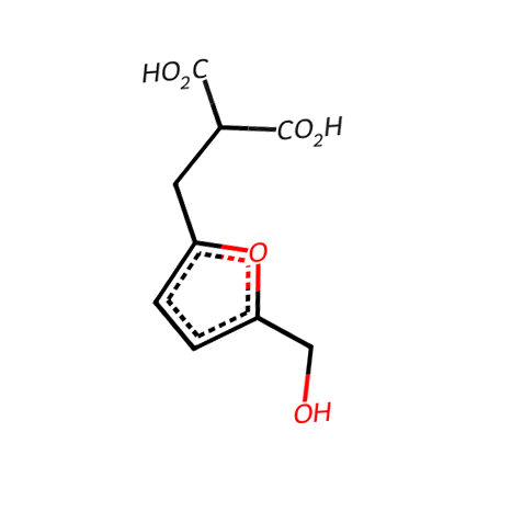 O=C(O)C(Cc1ccc(CO)o1)C(=O)O